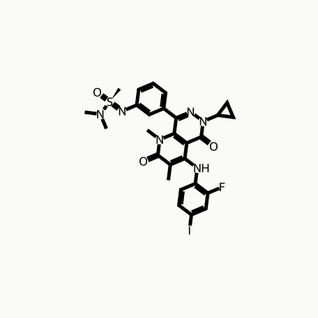 Cc1c(Nc2ccc(I)cc2F)c2c(=O)n(C3CC3)nc(-c3cccc(N=[S@@](C)(=O)N(C)C)c3)c2n(C)c1=O